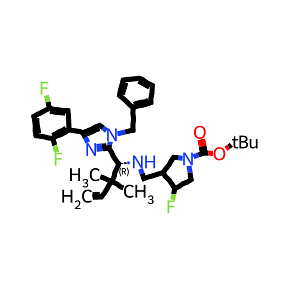 C=CC(C)(C)[C@@H](NCC1CN(C(=O)OC(C)(C)C)CC1F)c1nc(-c2cc(F)ccc2F)cn1Cc1ccccc1